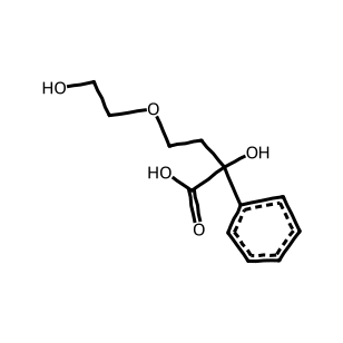 O=C(O)C(O)(CCOCCO)c1ccccc1